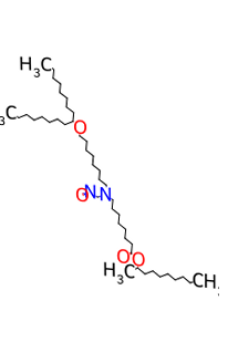 CCCCCCCCC(C)OC(=O)CCCCCCCN(CCCCCCCCOC(CCCCCCCC)CCCCCCCC)CN=O